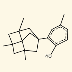 Cc1ccc(O)c(C23CC4(C)CC5(C)CC(C)(C2)C45C3)c1